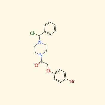 O=C(COc1ccc(Br)cc1)N1CCN(C(Cl)c2ccccc2)CC1